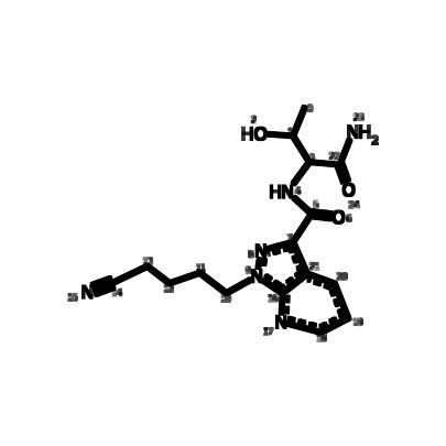 CC(O)C(NC(=O)c1nn(CCCCC#N)c2ncccc12)C(N)=O